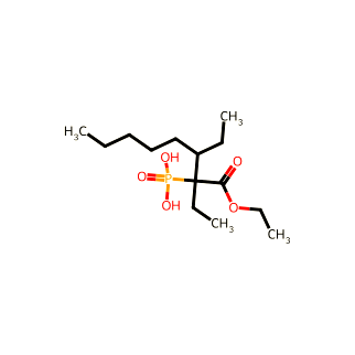 CCCCCC(CC)C(CC)(C(=O)OCC)P(=O)(O)O